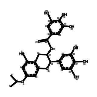 CC(C)Oc1cc(O)c2c(c1)O[C@H](c1cc(O)c(O)c(O)c1)[C@H](OC(=O)c1cc(O)c(O)c(O)c1)C2